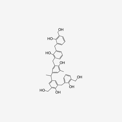 Cc1cc(C(C)c2cc(CO)c(O)c(Cc3cccc(CO)c3O)c2)cc(Cc2cccc(Cc3cccc(CO)c3O)c2O)c1O